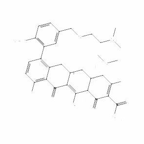 COc1ccc(CNCCN(C)C)cc1-c1ccc(O)c2c1C[C@H]1C[C@H]3[C@H](N(C)C)C(O)=C(C(N)=O)C(=O)[C@@]3(O)C(O)=C1C2=O